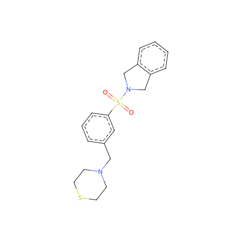 O=S(=O)(c1cccc(CN2CCSCC2)c1)N1Cc2ccccc2C1